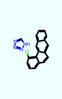 Clc1cccc2ccc3cc4ccccc4cc3c12.c1nnn[nH]1